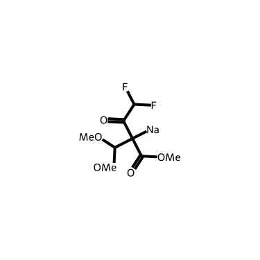 COC(=O)[C]([Na])(C(=O)C(F)F)C(OC)OC